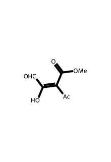 COC(=O)/C(C(C)=O)=C(/O)C=O